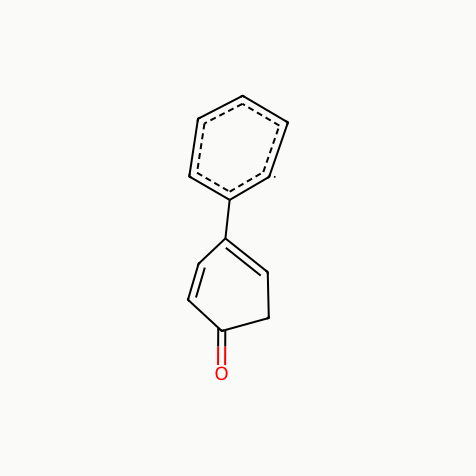 O=C1C=CC(c2[c]cccc2)=CC1